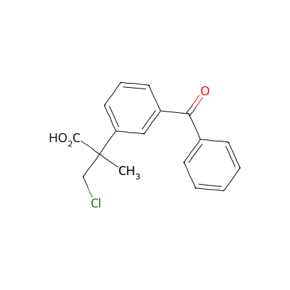 CC(CCl)(C(=O)O)c1cccc(C(=O)c2ccccc2)c1